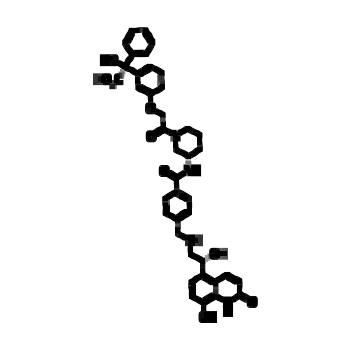 O=C(N[C@H]1CCCN(C(=O)COc2cccc([C@](O)(C(=O)O)c3ccccc3)c2)C1)c1ccc(CNC[C@H](O)c2ccc(O)c3[nH]c(=O)ccc23)cc1